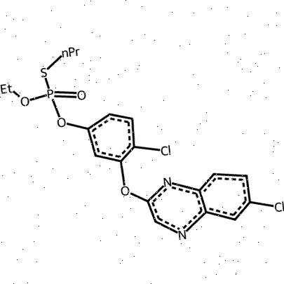 CCCSP(=O)(OCC)Oc1ccc(Cl)c(Oc2cnc3cc(Cl)ccc3n2)c1